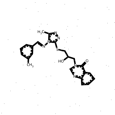 Cc1cccc(C=Nn2c(C)nnc2SCC(O)Cn2cnc3ccccc3c2=O)c1